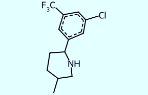 CC1CCC(c2cc(Cl)cc(C(F)(F)F)c2)NC1